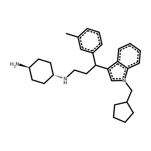 Cc1cccc(C(CCN[C@H]2CC[C@H](N)CC2)c2cn(CC3CCCC3)c3ccccc23)c1